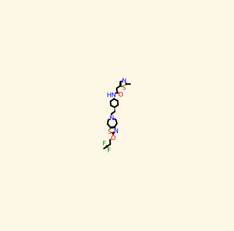 Cc1ncc(CC(=O)N[C@H]2CC[C@H](CCN3CCc4nc(OCCC(C)(F)F)sc4CC3)CC2)s1